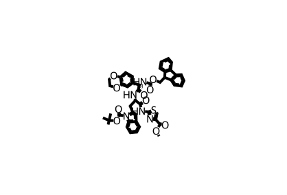 COC(=O)c1csc(NC(=O)C(Cc2cc3ccccc3n2C(=O)OC(C)(C)C)NC(=O)[C@@H](NC(=O)OCC2c3ccccc3-c3ccccc32)c2ccc3c(c2)OCCO3)n1